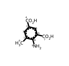 Cc1cc(C(=O)O)cc(C(=O)O)c1N